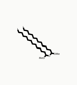 COC(CCC=CCCCCCCCCI)OC(CCC=CCCCCCCCCI)OC